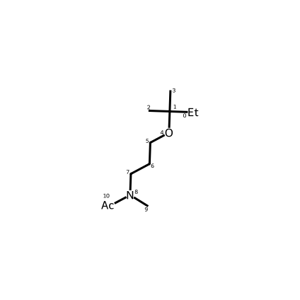 CCC(C)(C)OCCCN(C)C(C)=O